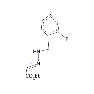 CCOC(=O)/C=N/NCc1ccccc1F